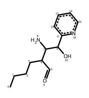 CCCCC(C=O)C(N)C(O)c1ccccn1